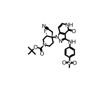 CC(C)(C)OC(=O)N1CC[C@@](CC#N)(n2nc(Nc3ccc(S(C)(=O)=O)cc3)c3c(=O)[nH]ccc32)[C@@H](F)C1